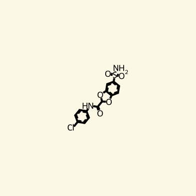 NS(=O)(=O)c1ccc2c(c1)OC(C(=O)Nc1ccc(Cl)cc1)O2